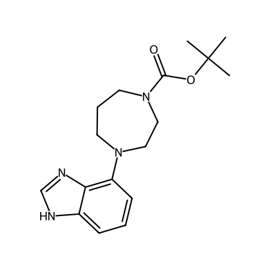 CC(C)(C)OC(=O)N1CCCN(c2cccc3[nH]cnc23)CC1